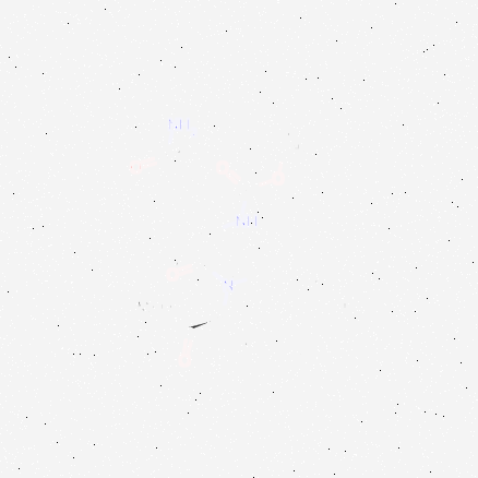 COC(=O)[C@@H]1Cc2ccccc2CN1C(=O)[C@H](CCC(N)=O)NC(=O)OC(C)(C)C